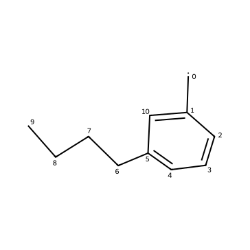 [CH2]c1cccc(CCCC)c1